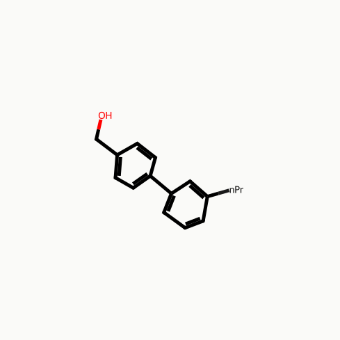 CCCc1cccc(-c2ccc(CO)cc2)c1